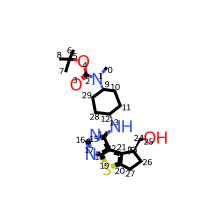 CN(C(=O)OC(C)(C)C)[C@H]1CC[C@H](Nc2ncnc3sc4c(c23)[C@@H](CO)CC4)CC1